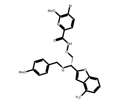 COc1ccc(CN[C@H](CONC(=O)c2ccc(Br)c(OC)n2)c2cc3c(C)cccc3o2)cc1